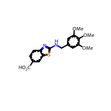 COc1cc(CNc2nc3ccc(C(=O)O)cc3s2)cc(OC)c1OC